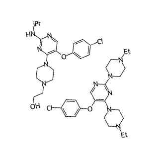 CC(C)Nc1ncc(Oc2ccc(Cl)cc2)c(N2CCN(CCO)CC2)n1.CCN1CCN(c2ncc(Oc3ccc(Cl)cc3)c(N3CCN(CC)CC3)n2)CC1